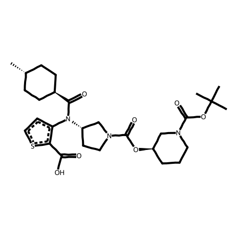 CC(C)(C)OC(=O)N1CCC[C@@H](OC(=O)N2CC[C@H](N(c3ccsc3C(=O)O)C(=O)[C@H]3CC[C@H](C)CC3)C2)C1